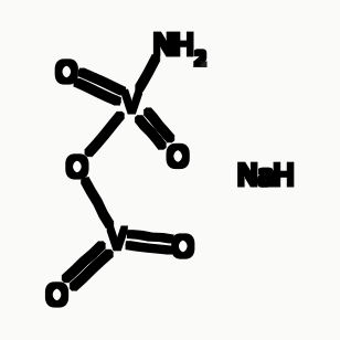 [NH2][V](=[O])(=[O])[O][V](=[O])=[O].[NaH]